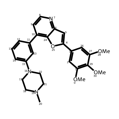 COc1cc(-c2cc3nccc(-c4cccc(N5CCN(C)CC5)c4)c3o2)cc(OC)c1OC